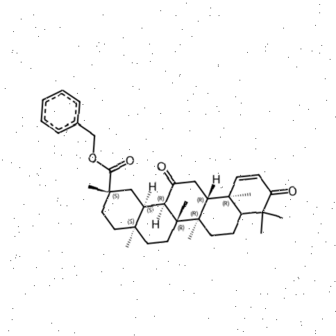 CC1(C)C(=O)C=C[C@@]2(C)C1CC[C@]1(C)[C@@H]2CC(=O)[C@@H]2[C@@H]3C[C@@](C)(C(=O)OCc4ccccc4)CC[C@]3(C)CC[C@]21C